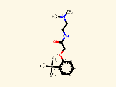 CN(C)CCNC(=O)COc1ccccc1[Si](C)(C)C